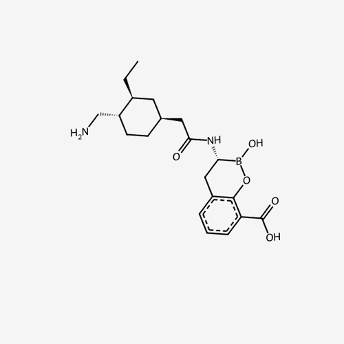 CC[C@H]1C[C@@H](CC(=O)N[C@H]2Cc3cccc(C(=O)O)c3OB2O)CC[C@@H]1CN